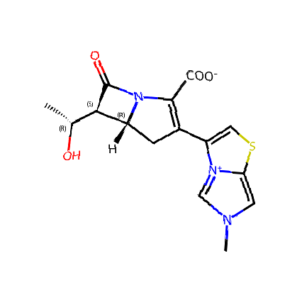 C[C@@H](O)[C@H]1C(=O)N2C(C(=O)[O-])=C(c3csc4cn(C)c[n+]34)C[C@H]12